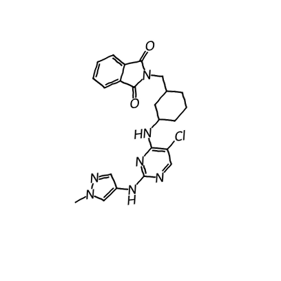 Cn1cc(Nc2ncc(Cl)c(NC3CCCC(CN4C(=O)c5ccccc5C4=O)C3)n2)cn1